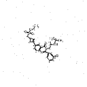 CCOS(=O)(=O)CC1C=C(c2ccc3nc(-c4cccc(Cl)c4)n(CC(=O)NC(C)C)c(=O)c3c2)C1